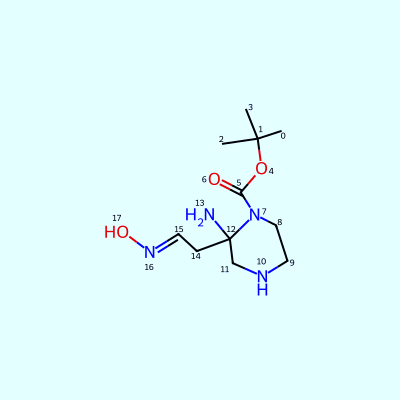 CC(C)(C)OC(=O)N1CCNCC1(N)CC=NO